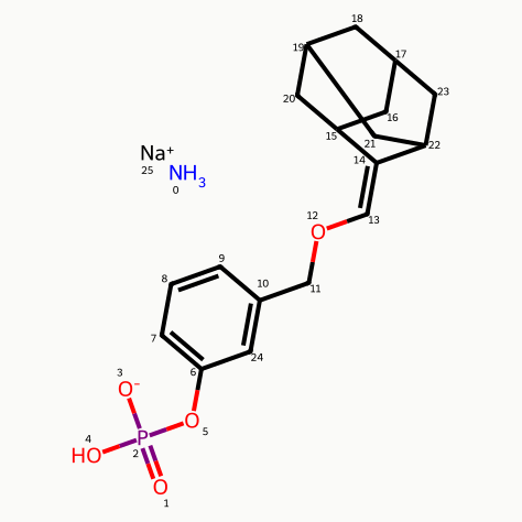 N.O=P([O-])(O)Oc1cccc(COC=C2C3CC4CC(C3)CC2C4)c1.[Na+]